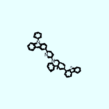 CC12C=C(c3cccc4c3sc3ccccc34)C=CC1CN(c1ccc(-c3ccc4c(c3)c3ccccc3n4-c3ccccc3)nc1)c1ccccc12